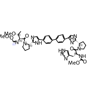 COO/C=N\[C@H](C(=O)N1CCC[C@H]1c1ncc(-c2ccc(-c3ccc(-c4cnc([C@@H]5CCCN5C(=O)[C@@H](Cc5c[nH]nn5)NC(=O)OC)[nH]4)cc3)cc2)[nH]1)[C@@H](C)OC